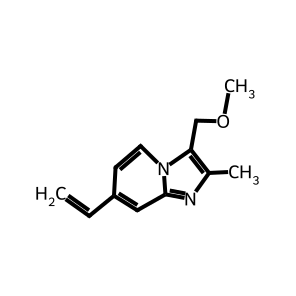 C=Cc1ccn2c(COC)c(C)nc2c1